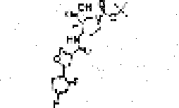 CC(C)(C)OC(=O)N1CC[C@@H](NC(=O)c2cc(-c3ccc(F)cc3F)on2)[C@](C)(C(=O)O)C1